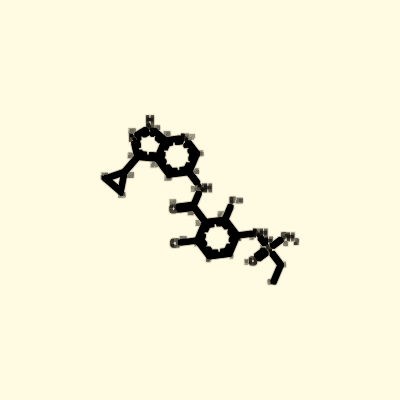 CC[SH](=O)(P)Nc1ccc(Cl)c(C(=O)Nc2cnc3[nH]nc(C4CC4)c3c2)c1F